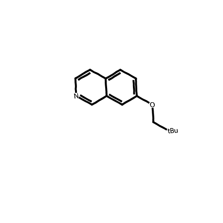 CC(C)(C)COc1ccc2ccncc2c1